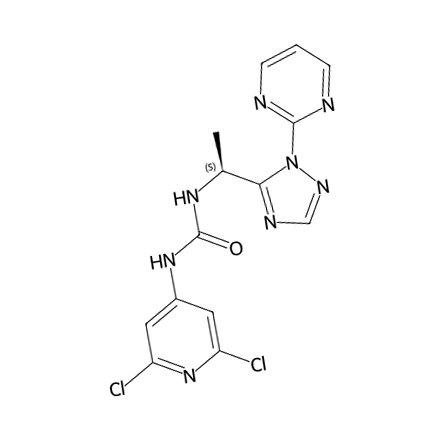 C[C@H](NC(=O)Nc1cc(Cl)nc(Cl)c1)c1ncnn1-c1ncccn1